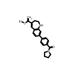 C=C(OCC)C1=Cc2ccc(-c3ccc(C(=O)N4CCCC4)cc3)cc2NCC1